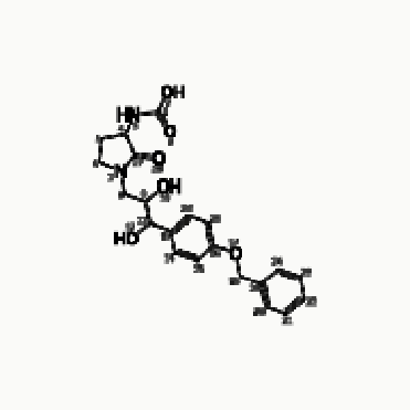 O=C(O)NC1CCN(CC(O)C(O)c2ccc(OCc3ccccc3)cc2)C1=O